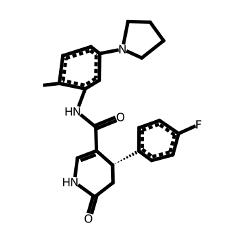 Cc1ccc(N2CCCC2)cc1NC(=O)C1=CNC(=O)C[C@H]1c1ccc(F)cc1